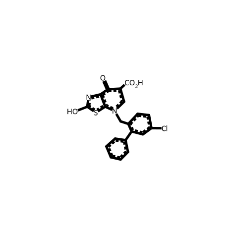 O=C(O)c1cn(Cc2ccc(Cl)cc2-c2ccccc2)c2sc(O)nc2c1=O